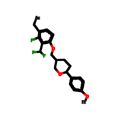 CCOc1ccc(C2CCC(COc3ccc(CC(C)=O)c(F)c3C(F)F)CO2)cc1